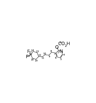 O=C(O)Oc1ncccc1CCCCC1CCC(F)(F)CC1